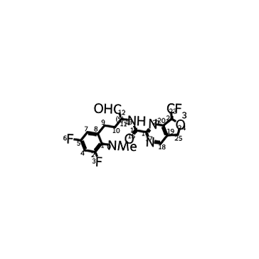 CNc1c(F)cc(F)cc1CC[C@@H](C=O)NC(=O)c1ncc2c(n1)C(C(F)(F)F)OC2